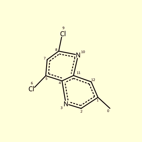 Cc1cnc2c(Cl)cc(Cl)nc2c1